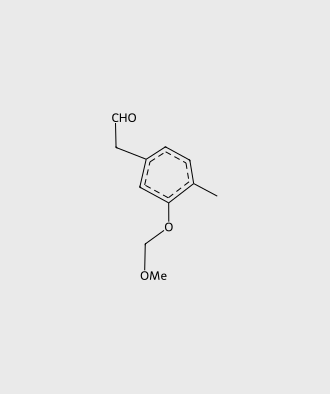 COCOc1cc(CC=O)ccc1C